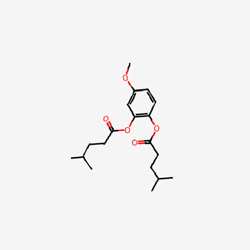 COc1ccc(OC(=O)CCC(C)C)c(OC(=O)CCC(C)C)c1